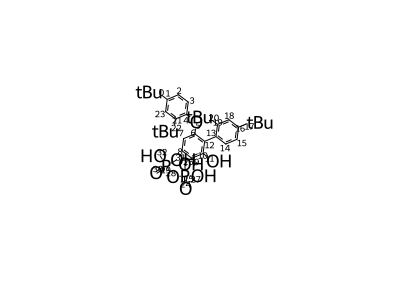 CC(C)(C)c1ccc(Oc2cccc(O)c2-c2ccc(C(C)(C)C)cc2C(C)(C)C)c(C(C)(C)C)c1.O=P(O)(O)OP(=O)(O)O